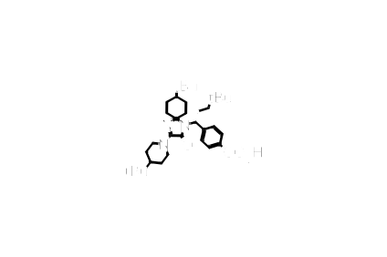 CC(C)(C)CC[C@H](c1ccc(C(=O)O)cc1)N1C(=O)C(N2CCC(C(C)(C)C)CC2)=NC12CCC(C(C)(C)C)CC2